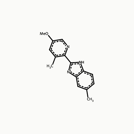 COc1cnc(-c2nc3cc(C)ccc3[nH]2)c(C)c1